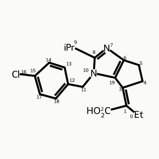 CC/C(C(=O)O)=C1\CCc2nc(C(C)C)n(Cc3ccc(Cl)cc3)c21